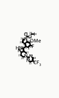 COc1c(F)cc(-c2[nH]nc3c2CN(c2ncc(C(F)(F)F)cn2)CC3)c2ccn(C(=O)OCI)c12